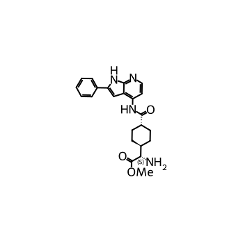 COC(=O)[C@@H](N)[C@H]1CC[C@H](C(=O)Nc2ccnc3[nH]c(-c4ccccc4)cc23)CC1